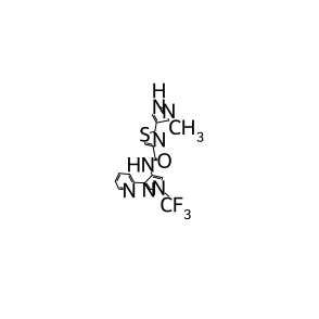 Cc1n[nH]cc1-c1nc(C(=O)Nc2cn(CC(F)(F)F)nc2-c2ccccn2)cs1